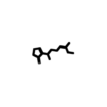 CCC(C)=CCCC(C)C1=CCCC1=O